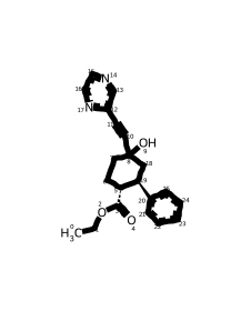 CCOC(=O)[C@@H]1CCC(O)(C#Cc2cnccn2)C[C@H]1c1ccccc1